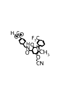 Cc1c(OCC#N)cc(C(=O)NCc2ccc(S(C)(=O)=O)cc2)c(=O)n1-c1cccc(C(F)(F)F)c1